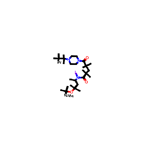 CNC(C)(C)OC(C)(C)CC(C)N(I)C(=O)C(C)(C)CC(C)(C)C(=O)N1CCN(C(C)(C)C(C)(C)C(C)C)CC1